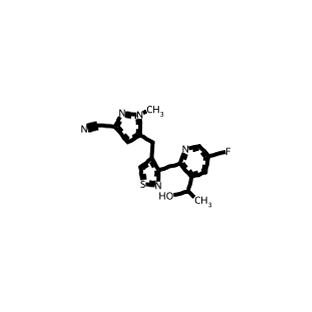 CC(O)c1cc(F)cnc1-c1nscc1Cc1cc(C#N)nn1C